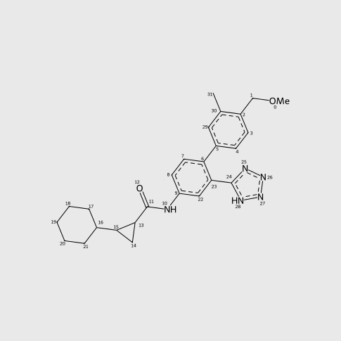 COCc1ccc(-c2ccc(NC(=O)C3CC3C3CCCCC3)cc2-c2nnn[nH]2)cc1C